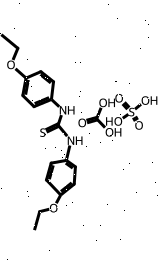 CCOc1ccc(NC(=S)Nc2ccc(OCC)cc2)cc1.O=C(O)O.O=S(=O)(O)O